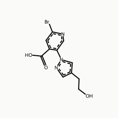 O=C(O)c1cc(Br)ncc1-n1cc(CCO)cn1